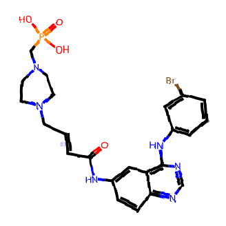 O=C(/C=C/CN1CCN(CP(=O)(O)O)CC1)Nc1ccc2ncnc(Nc3cccc(Br)c3)c2c1